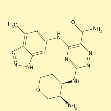 Cc1cc(Nc2nc(N[C@@H]3CCOC[C@@H]3N)nnc2C(N)=O)cc2[nH]ncc12